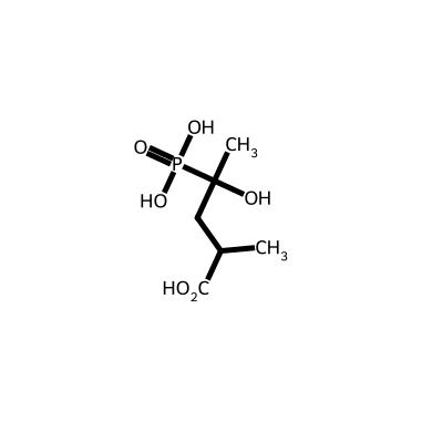 CC(CC(C)(O)P(=O)(O)O)C(=O)O